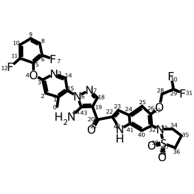 Cc1cc(Oc2c(F)cccc2F)ncc1-n1ncc(C(=O)c2cc3cc(OCC(F)F)c(N4CCCS4(=O)=O)cc3[nH]2)c1N